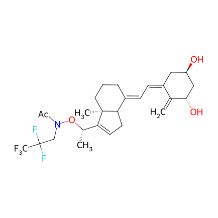 C=C1/C(=C\C=C2/CCC[C@]3(C)C([C@H](C)ON(CC(F)(F)C(F)(F)F)C(C)=O)=CCC23)C[C@@H](O)C[C@@H]1O